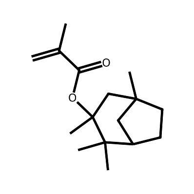 C=C(C)C(=O)OC1(C)CC2(C)CCC(C2)C1(C)C